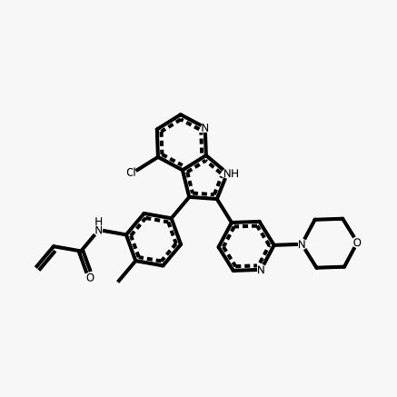 C=CC(=O)Nc1cc(-c2c(-c3ccnc(N4CCOCC4)c3)[nH]c3nccc(Cl)c23)ccc1C